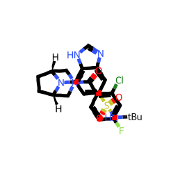 CC(C)(C)NS(=O)(=O)c1cc(N2[C@@H]3CC[C@H]2CN(C(=O)c2ccc(F)cc2Cl)C3)c2[nH]cnc2c1